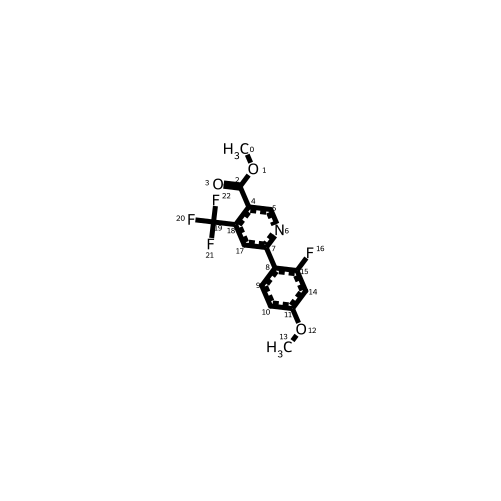 COC(=O)c1cnc(-c2ccc(OC)cc2F)cc1C(F)(F)F